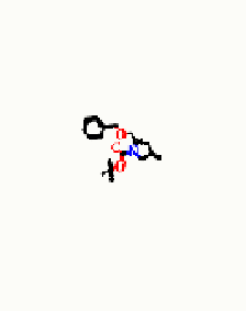 C=C1C[C@H](COCc2ccccc2)N(C(=O)OC(C)(C)C)C1